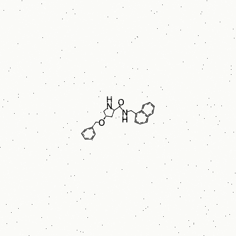 O=C(NCc1cccc2ccccc12)C1C[C@@H](OCc2ccccc2)CN1